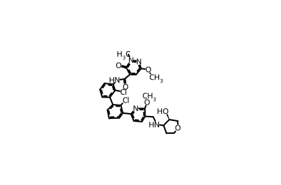 COc1cc(C(=O)Nc2cccc(-c3cccc(-c4ccc(CNC5CCOC[C@@H]5O)c(OC)n4)c3Cl)c2Cl)c(=O)n(C)n1